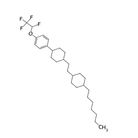 CCCCCCCC1CCC(CCC2CCC(c3ccc(OC(F)C(F)(F)F)cc3)CC2)CC1